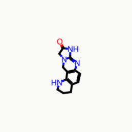 O=C1CN2Cc3c(ccc4c3NCCC4)N=C2N1